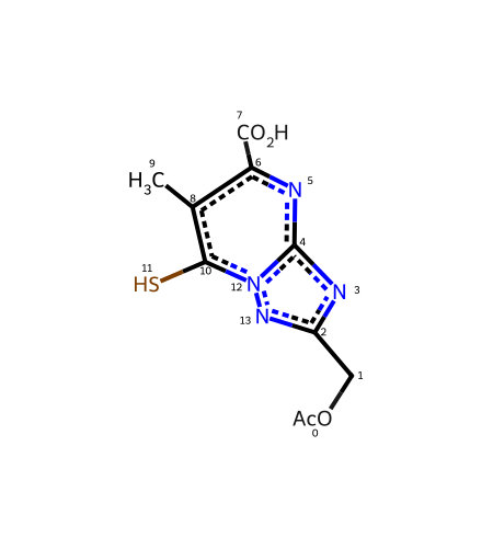 CC(=O)OCc1nc2nc(C(=O)O)c(C)c(S)n2n1